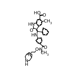 Cc1cc2c(cc1C(=O)O)NC(=O)/C2=C(\Nc1ccc(C(=O)N(C)OCCN2C3CCC2CNC3)cc1)c1ccccc1